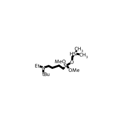 CCN(CCCC[Si](OC)(OC)OC[SiH](C)C)C(C)(C)C